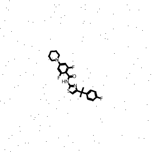 CC(C)(c1ccc(F)cc1)c1csc(NC(=O)c2c(F)cc(N3CCCCC3)cc2F)n1